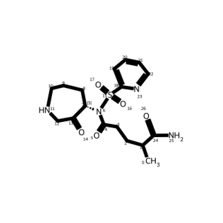 CC(C[CH]C(=O)N([C@H]1CCCNCC1=O)S(=O)(=O)c1ccccn1)C(N)=O